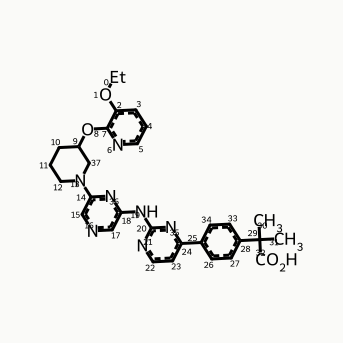 CCOc1cccnc1OC1CCCN(c2cncc(Nc3nccc(-c4ccc(C(C)(C)C(=O)O)cc4)n3)n2)C1